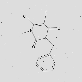 Cn1c(Cl)c(F)c(=O)n(Cc2ccccc2)c1=O